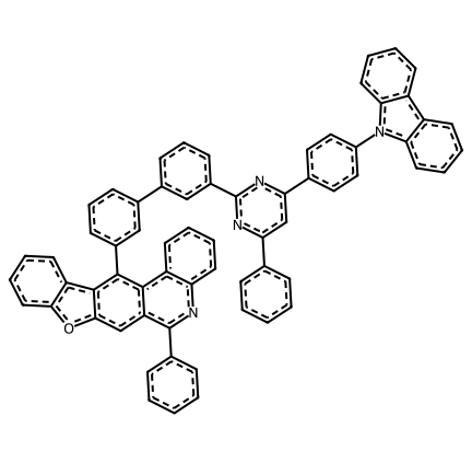 c1ccc(-c2cc(-c3ccc(-n4c5ccccc5c5ccccc54)cc3)nc(-c3cccc(-c4cccc(-c5c6c(cc7c(-c8ccccc8)nc8ccccc8c57)oc5ccccc56)c4)c3)n2)cc1